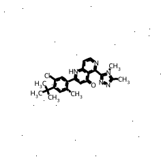 Cc1cc(C(C)(C)C)c(Cl)cc1-c1cc(=O)c2c(-c3nnc(C)n3C)nccc2[nH]1